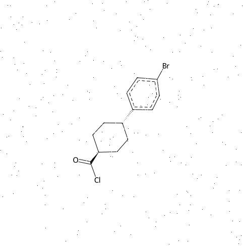 O=C(Cl)[C@H]1CC[C@H](c2ccc(Br)cc2)CC1